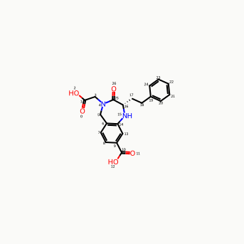 O=C(O)CN1Cc2ccc(C(=O)O)cc2N[C@@H](CCc2ccccc2)C1=O